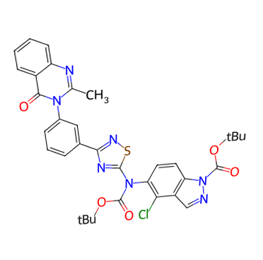 Cc1nc2ccccc2c(=O)n1-c1cccc(-c2nsc(N(C(=O)OC(C)(C)C)c3ccc4c(cnn4C(=O)OC(C)(C)C)c3Cl)n2)c1